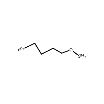 CCCCCCCO[SiH3]